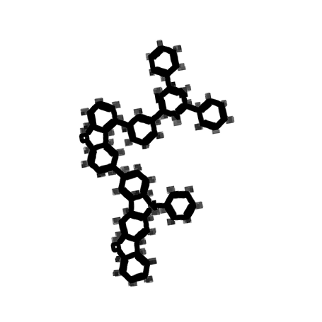 c1ccc(-c2nc(-c3ccccc3)nc(-c3cccc(-c4cccc5oc6ccc(-c7ccc8c(c7)c7cc9oc%10ccccc%10c9cc7n8-c7ccccc7)cc6c45)c3)n2)cc1